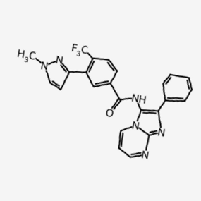 Cn1ccc(-c2cc(C(=O)Nc3c(-c4ccccc4)nc4ncccn34)ccc2C(F)(F)F)n1